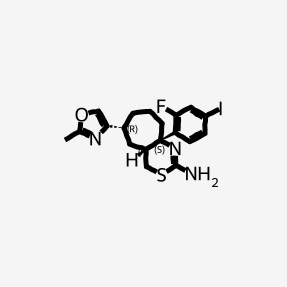 Cc1nc([C@@H]2CCC[C@]3(c4ccc(I)cc4F)N=C(N)SC[C@@H]3C2)co1